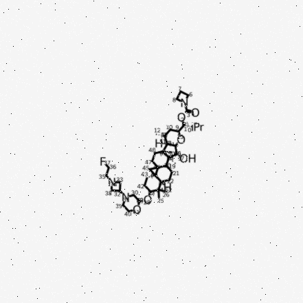 CC(C)[C@@H](OC(=O)N1CCC1)C1C[C@@H](C)[C@H]2C(O1)[C@H](O)[C@@]1(C)C3CC[C@H]4C(C)(C)[C@@H](O[C@H]5CN(C6CN(CCF)C6)CCO5)CC[C@@]45CC35CC[C@]21C